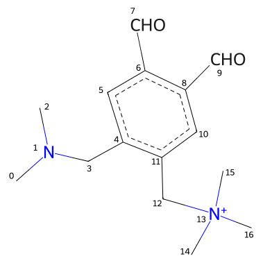 CN(C)Cc1cc(C=O)c(C=O)cc1C[N+](C)(C)C